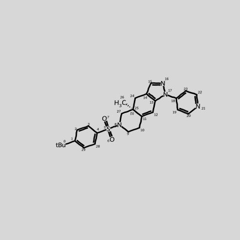 CC(C)(C)c1ccc(S(=O)(=O)N2CCC3=Cc4c(cnn4-c4ccncc4)C[C@]3(C)C2)cc1